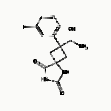 NC(O)C1(c2cccc(F)c2)CC2(C1)NC(=O)NC2=O